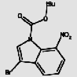 CC(C)(C)OC(=O)n1cc(Br)c2cccc([N+](=O)[O-])c21